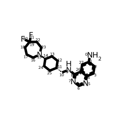 Nc1ccc2ncnc(NC[C@H]3CC[C@H](N4CCCC(F)(F)CC4)CC3)c2c1